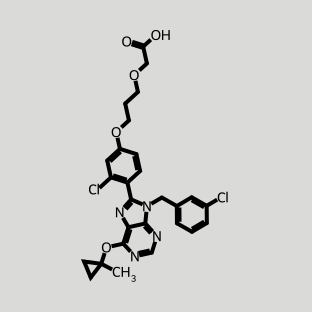 CC1(Oc2ncnc3c2nc(-c2ccc(OCCCOCC(=O)O)cc2Cl)n3Cc2cccc(Cl)c2)CC1